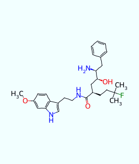 COc1ccc2c(CCNC(=O)[C@H](CCC(C)(C)F)C[C@H](O)[C@@H](N)Cc3ccccc3)c[nH]c2c1